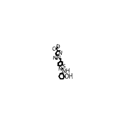 COC(=O)c1cnc2c(c1)ncn2Cc1ccc2nc(N[C@@H]3CCCC[C@H]3O)sc2c1